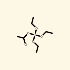 CCO[Si](OCC)(OCC)OC(C)Cl